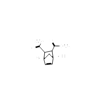 COC(=O)C1C(C(=O)OC)[C@@]2(C)C=C[C@@H]1C2